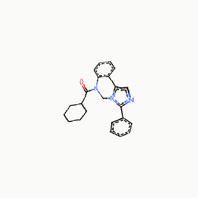 O=C(C1CCCCC1)N1Cn2c(cnc2-c2ccccc2)-c2ccccc21